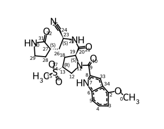 COc1cccc2[nH]c(C(=O)N3C[C@H](S(C)(=O)=O)C[C@H]3C(=O)N[C@H](C#N)C[C@@H]3CCNC3=O)cc12